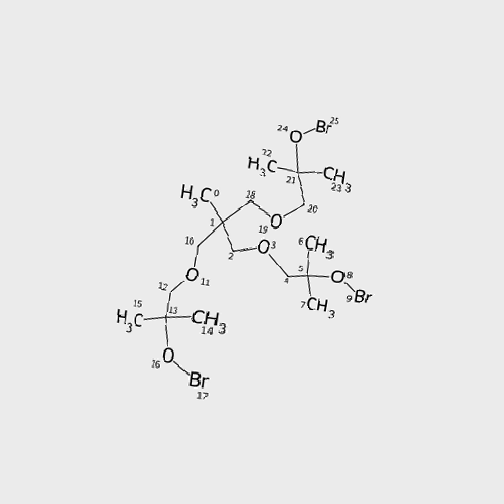 CC(COCC(C)(C)OBr)(COCC(C)(C)OBr)COCC(C)(C)OBr